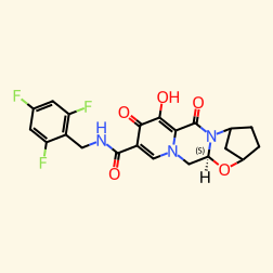 O=C(NCc1c(F)cc(F)cc1F)c1cn2c(c(O)c1=O)C(=O)N1C3CCC(C3)O[C@H]1C2